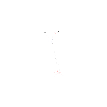 C=CC(=O)OCC(C)(COC(=O)C=C)NC(=O)OCCCCCCCCCCC[Si](OCC)(OCC)OCC